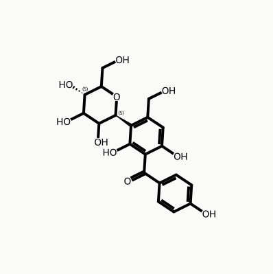 O=C(c1ccc(O)cc1)c1c(O)cc(CO)c([C@@H]2OC(CO)[C@@H](O)C(O)C2O)c1O